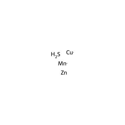 S.[Cu].[Mn].[Zn]